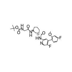 COc1cc(F)ccc1-c1cc(NC(=O)[C@H]2CCC[C@@H](NC(=O)CNC(=O)OC(C)(C)C)C2)ncc1F